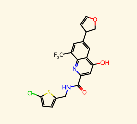 O=C(NCc1ccc(Cl)s1)c1cc(O)c2cc(C3C=COC3)cc(C(F)(F)F)c2n1